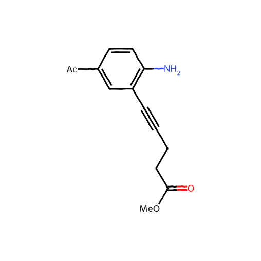 COC(=O)CCC#Cc1cc(C(C)=O)ccc1N